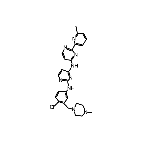 Cc1cccc(-c2nccc(Nc3ccnc(Nc4ccc(Cl)c(CN5CCN(C)CC5)c4)n3)n2)n1